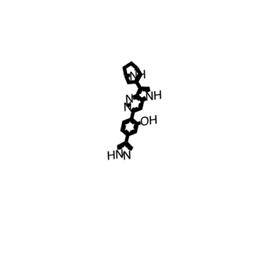 Oc1cc(-c2cn[nH]c2)ccc1-c1cc2[nH]cc(C3=CC4CCC(C3)N4)c2nn1